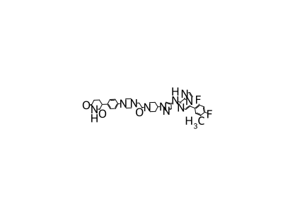 Cc1cc(-c2cnc(Nc3cnn(C4CCN(C(=O)CN5CCN(c6ccc(C7CCC(=O)NC7=O)cc6)CC5)CC4)c3)c3nccn23)c(F)cc1F